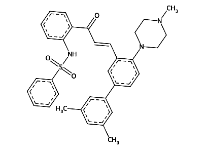 Cc1cc(C)cc(-c2ccc(N3CCN(C)CC3)c(C=CC(=O)c3ccccc3NS(=O)(=O)c3ccccc3)c2)c1